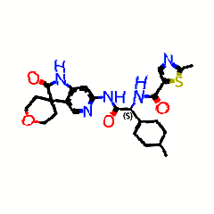 Cc1ncc(C(=O)N[C@H](C(=O)Nc2cc3c(cn2)C2(CCOCC2)C(=O)N3)C2CCC(C)CC2)s1